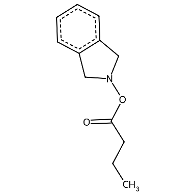 CCCC(=O)ON1Cc2ccccc2C1